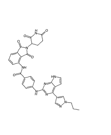 CCCn1cc(-c2nc(Nc3ccc(C(=O)Nc4cccc5c4C(=O)N(C4CCC(=O)NC4=O)C5=O)cc3)nc3[nH]ccc23)cn1